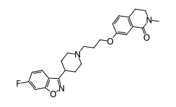 CN1CCc2ccc(OCCCN3CCC(c4noc5cc(F)ccc45)CC3)cc2C1=O